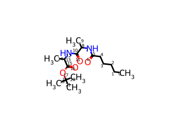 CCCCCC(=O)NC(C)C(=O)NC(C)C(=O)OC(C)(C)C